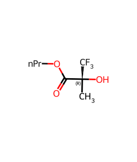 CCCOC(=O)[C@@](C)(O)C(F)(F)F